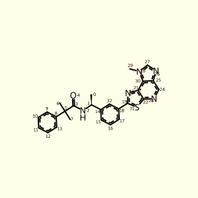 C[C@H](NC(=O)C(C)(C)c1ccccc1)c1cccc(-c2nc3c(ncc4ncn(C)c43)s2)c1